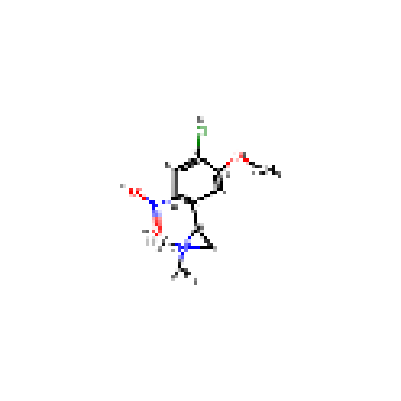 COc1cc(C2C[N+]2(C)C)c([N+](=O)[O-])cc1Cl